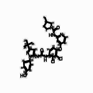 CC1CCN(C(=O)Nc2cc(Oc3ccc(NC(=O)Nc4cc(C(C)(C)C)nn4-c4ccc(O)cc4)c(Cl)c3Cl)ccn2)C1